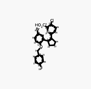 O=C(O)c1nc(C2=C(c3cc(Br)ccc3OCc3ccc(F)cc3)CCC2)ccc1Cl